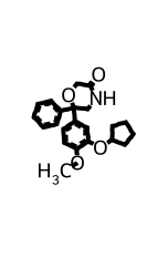 COc1ccc(C2(c3ccccc3)CNC(=O)CO2)cc1OC1CCCC1